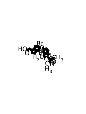 Cc1noc(C)c1COc1ccc(Oc2c(Br)cc3c(c2Br)CCC3CC(=O)O)cc1C(C)C